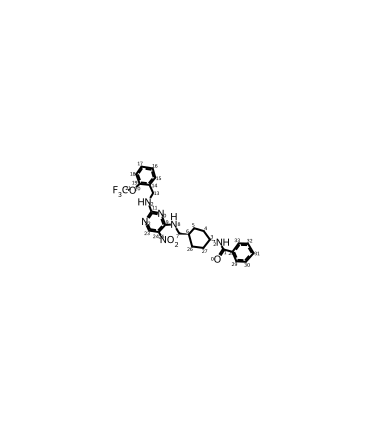 O=C(N[C@H]1CC[C@H](CNc2nc(NCc3ccccc3OC(F)(F)F)ncc2[N+](=O)[O-])CC1)c1ccccc1